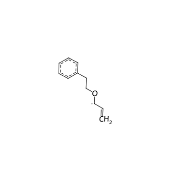 C=C[CH]OCCc1ccccc1